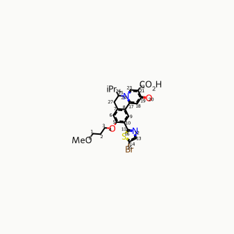 COCCCOc1cc2c(cc1-c1ncc(Br)s1)-c1cc(=O)c(C(=O)O)cn1C(C(C)C)C2